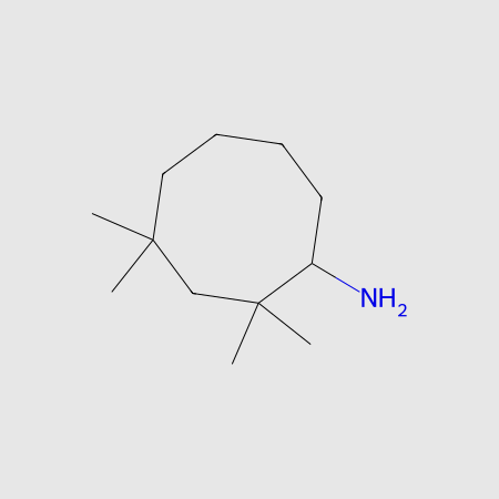 CC1(C)CCCCC(N)C(C)(C)C1